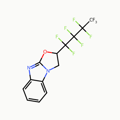 FC(F)(F)C(F)(F)C(F)(F)C(F)(F)C1Cn2c(nc3ccccc32)O1